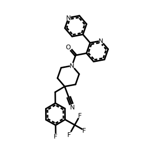 N#CC1(Cc2ccc(F)c(C(F)(F)F)c2)CCN(C(=O)c2cccnc2-c2ccncc2)CC1